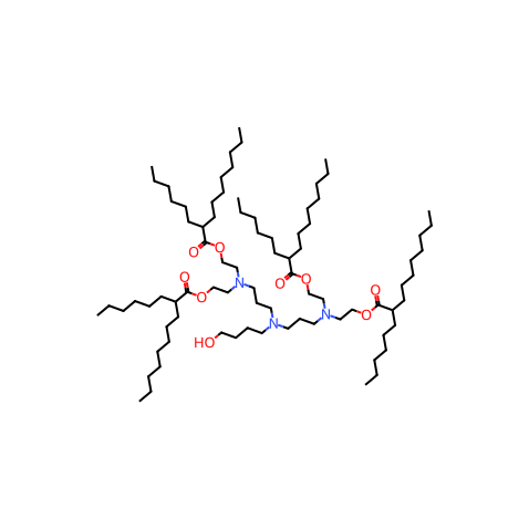 CCCCCCCCC(CCCCCC)C(=O)OCCN(CCCN(CCCCO)CCCN(CCOC(=O)C(CCCCCC)CCCCCCCC)CCOC(=O)C(CCCCCC)CCCCCCCC)CCOC(=O)C(CCCCCC)CCCCCCCC